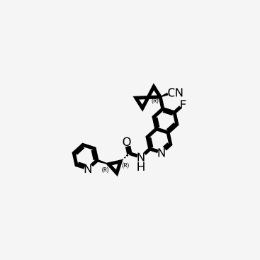 N#C[C@]1(c2cc3cc(NC(=O)[C@@H]4C[C@H]4c4ccccn4)ncc3cc2F)CC12CC2